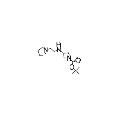 CC(C)(C)OC(=O)N1CC(NCCN2CCCC2)C1